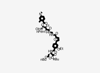 C=Nc1ccc(C(=O)ON(C=O)[C@H](CC)[C@@H](CCCCC)C(=O)NCNC(=O)c2ccc(-c3ccc(C(=O)N[C@@H](CC(=O)OCCCC)C(=O)OCCCC)c(OCC)c3)o2)c(C)c1